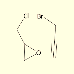 C#CCBr.ClCC1CO1